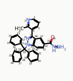 Cc1ncccc1-c1nn(C(c2ccccc2)(c2ccccc2)c2ccccc2)c2ccc(C(=O)NN)cc12